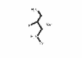 CCC(F)C[SiH2][O-].[Na+]